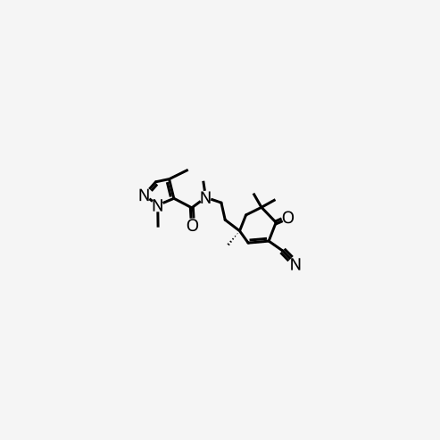 Cc1cnn(C)c1C(=O)N(C)CC[C@]1(C)C=C(C#N)C(=O)C(C)(C)C1